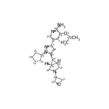 CC(C)Oc1cc(-c2cc([C@H]3[C@@H]4CN(C5COC5)C[C@@H]43)n(C3CCCC3)n2)cnc1N